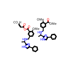 COC(=O)c1cc(CNC(C)c2nc(-c3ccccc3)c[nH]2)ccc1OC.COc1ccc(CNC(C)c2nc(-c3ccccc3)c[nH]2)cc1C(=O)OC(=O)/C=C\C(=O)O